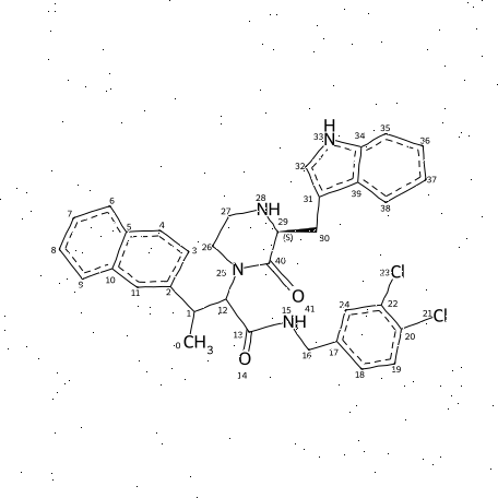 CC(c1ccc2ccccc2c1)C(C(=O)NCc1ccc(Cl)c(Cl)c1)N1CCN[C@@H](Cc2c[nH]c3ccccc23)C1=O